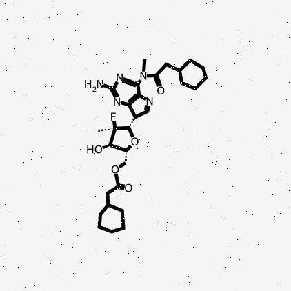 CN(C(=O)CC1CCCCC1)c1nc(N)nc2c1N=CC2[C@@H]1O[C@H](COC(=O)CC2CCCCC2)[C@@H](O)[C@@]1(C)F